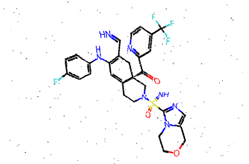 N=CC1=C(Nc2ccc(F)cc2)C=C2CCN([S@](=N)(=O)c3ncc4n3CCOC4)C[C@@]2(C(=O)c2cc(C(F)(F)F)ccn2)C1